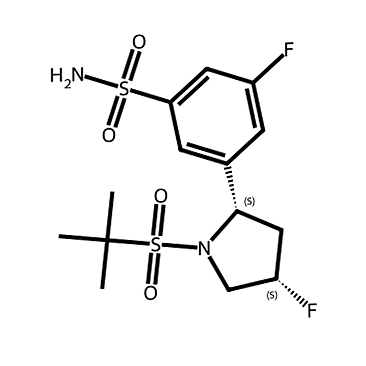 CC(C)(C)S(=O)(=O)N1C[C@@H](F)C[C@H]1c1cc(F)cc(S(N)(=O)=O)c1